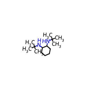 CC(C)(C)NC1CCCCC1NC(C)(C)C